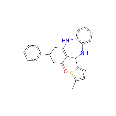 Cc1ccc(C2Nc3ccccc3NC3=C2C(=O)CC(c2ccccc2)C3)s1